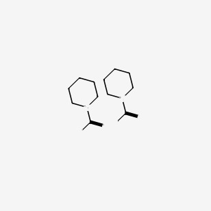 S=C([S-])N1CCCCC1.S=C([S-])N1CCCCC1.[Co+2]